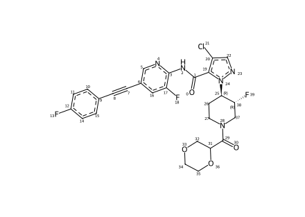 O=C(Nc1ncc(C#Cc2ccc(F)cc2)cc1F)c1c(Cl)cnn1[C@@H]1CCN(C(=O)C2COCCO2)C[C@H]1F